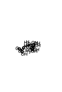 O=C(CNC(=S)Nc1ccc(-c2c3ccc(=O)cc-3oc3cc(O)ccc23)c(C(=O)O)c1)OCC1O[C@H](O[C@H]2OC(CO)[C@@H](O)C(O)C2O)C(O)C(O)[C@@H]1O